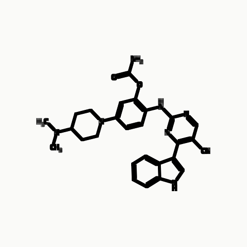 CN(C)C1CCN(c2ccc(Nc3ncc(C#N)c(-c4c[nH]c5ccccc45)n3)c(OC(N)=O)c2)CC1